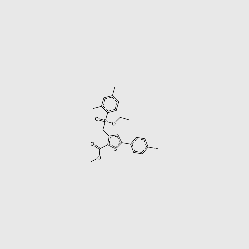 CCOP(=O)(Cc1cc(-c2ccc(F)cc2)sc1C(=O)OC)c1ccc(C)cc1C